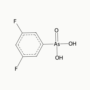 O=[As](O)(O)c1cc(F)cc(F)c1